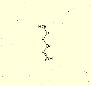 N=COCCO